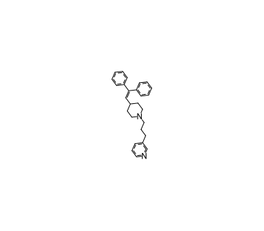 C(=C(c1ccccc1)c1ccccc1)C1CCN(CCCc2cccnc2)CC1